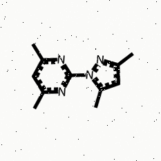 Cc1cc(C)nc(-n2nc(C)cc2C)n1